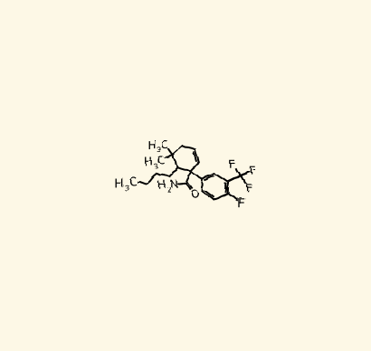 CCCCC1C(C)(C)CC=CC1(C(N)=O)c1ccc(F)c(C(F)(F)F)c1